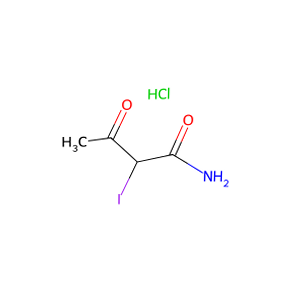 CC(=O)C(I)C(N)=O.Cl